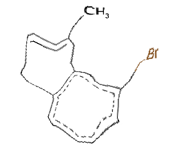 CC1=CCc2cccc(Br)c21